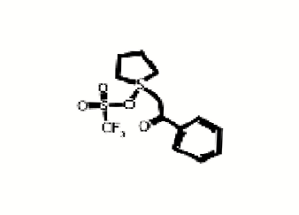 O=C(CS1(OS(=O)(=O)C(F)(F)F)CCCC1)c1ccccc1